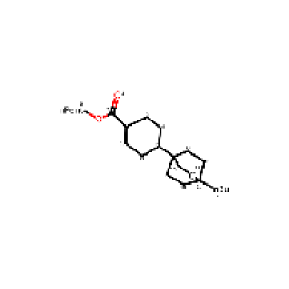 CCCCCOC(=O)C1CCC(C23CCC(CCCC)(CC2)CC3)CC1